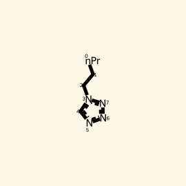 [CH2]CCCCn1cnnn1